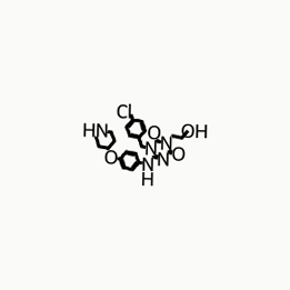 O=c1nc(Nc2ccc(OC3CCNCC3)cc2)n(Cc2ccc(Cl)cc2)c(=O)n1CCO